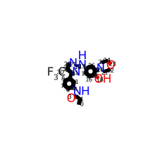 C=CC(=O)Nc1cccc(-c2nc(Nc3ccc(O)c(N4CCOCC4)c3)ncc2C(F)(F)F)c1